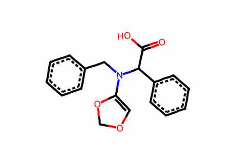 O=C(O)C(c1ccccc1)N(Cc1ccccc1)C1=COCO1